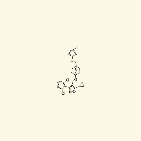 Cn1ccc(OCC23CCC(OCc4c(-c5c(Cl)cncc5Cl)noc4C4CC4)(CC2)CC3)n1